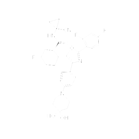 N#CC1(NC(=O)[C@@H]2C[C@@H](F)CC[C@H]2c2oc(-c3ccc(F)cc3F)nc2-c2ccc(N3CCS(O)(O)CC3)cc2)CC1